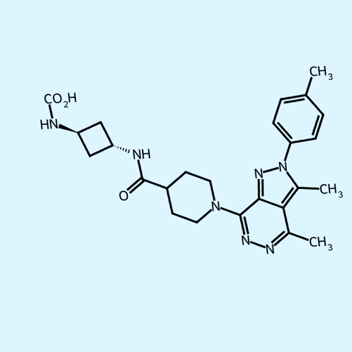 Cc1ccc(-n2nc3c(N4CCC(C(=O)N[C@H]5C[C@H](NC(=O)O)C5)CC4)nnc(C)c3c2C)cc1